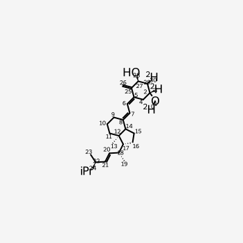 [2H]O[C@]1([2H])CC(=CC=C2CCC[C@@]3(C)C2CC[C@@H]3[C@H](C)/C=C/[C@H](C)C(C)C)C(=C)[C@@H](O)C1[2H]